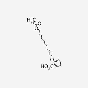 C=CC(=O)OCCCCCCCCCCCOc1ccccc1C(=O)O